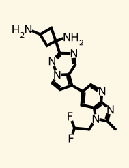 Cc1nc2ncc(-c3ccn4nc(C5(N)CC(N)C5)ncc34)cc2n1CC(F)F